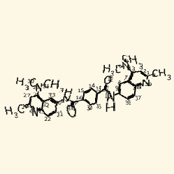 Cc1cc(N(C)C)c2cc(NC(=O)c3ccc(C(=O)Nc4ccc5nc(C)cc(N(C)C)c5c4)cc3)ccc2n1